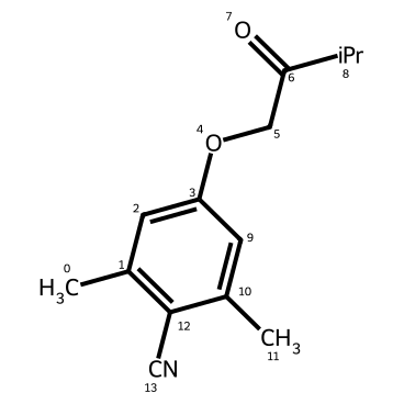 Cc1cc(OCC(=O)C(C)C)cc(C)c1C#N